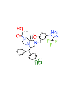 COc1ccc(-n2nnnc2C(F)(F)F)cc1CN1C[C@@H]2CN(C(=O)[C@@H](C)O)CCN2[C@H](C(c2ccccc2)c2ccccc2)C1.Cl.Cl